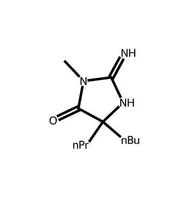 CCCCC1(CCC)NC(=N)N(C)C1=O